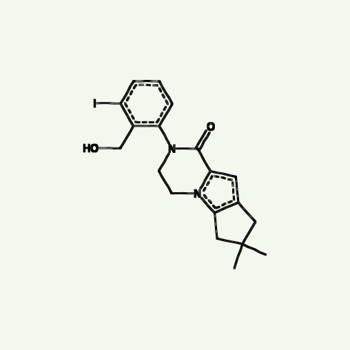 CC1(C)Cc2cc3n(c2C1)CCN(c1cccc(I)c1CO)C3=O